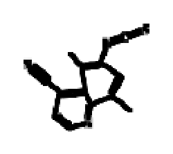 Cc1cc(N=C=S)c(C)c2c(C#N)ccnc12